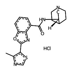 Cc1ncsc1-c1nc2c(C(=O)N[C@@H]3CN4CCC3CC4)cccc2o1.Cl